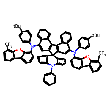 CC(C)(C)c1ccc(N(c2cc3c(c4ccccc24)-c2c(cc(N(c4ccc(C(C)(C)C)cc4)c4cccc5c4oc4c(C(F)(F)F)cccc45)c4ccccc24)C32c3ccccc3N(c3ccccc3)c3ccccc32)c2cccc3c2oc2c(C(F)(F)F)cccc23)cc1